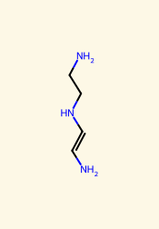 N/C=C/NCCN